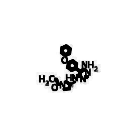 C=CC(=O)N1CC[C@H](CNc2ncnc(N)c2-c2ccc(Oc3ccccc3)cc2)C1